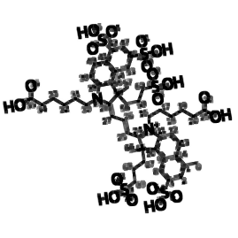 Cc1cc(S(=O)(=O)O)cc2c3c(ccc12)[N+](CCCCCC(=O)O)=C(/C=C/C=C1/N(CCCCCC(=O)O)c2ccc4c(S(=O)(=O)O)cc(S(=O)(=O)O)cc4c2C1(C)CCCS(=O)(=O)O)C3(C)CCCS(=O)(=O)O